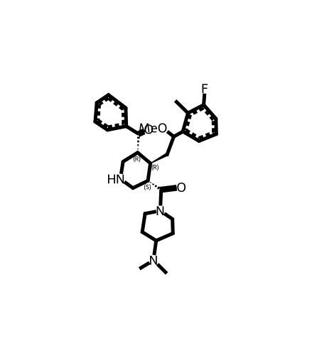 COC(C[C@@H]1[C@@H](C(=O)c2ccccc2)CNC[C@H]1C(=O)N1CCC(N(C)C)CC1)c1cccc(F)c1C